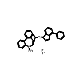 CCCP1C2=Cc3c(cccc3[CH]2[Ti+2][CH]2C=Cc3c(-c4ccccc4)cccc32)-c2ccccc21.[F-].[F-]